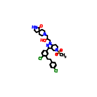 CS(=O)(=O)N1CCc2c(c(-c3ccc(Cl)c(CCc4ccc(Cl)cc4)c3)nn2CC(O)CN2CCC3(CCNC3=O)CC2)C1